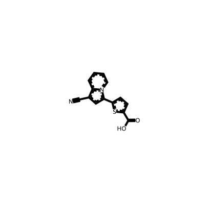 N#Cc1cc(-c2ccc(C(=O)O)s2)n2ccccc12